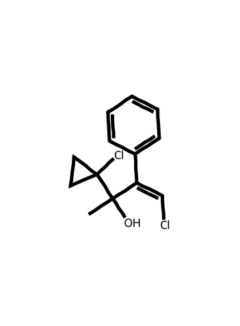 CC(O)(C(=CCl)c1ccccc1)C1(Cl)CC1